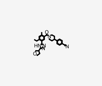 CCc1cc(C)c(C(=O)N2CCC(c3ccc(C#N)cc3)CC2)cc1-c1nnc(C2CCOC2)[nH]1